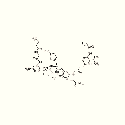 CCCC(=O)NCC(=O)N[C@@H](CC(N)=O)C(=O)N[C@@H](C)C(=O)N[C@@H](Cc1ccc(O)cc1)C(=O)N[C@@H](C)C(=O)N[C@@H](CCC(N)=O)C(=O)NCC(=O)NCC(=O)NC(C(=O)NCC(N)=O)C(C)C